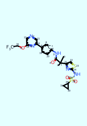 CC(C)(C(=O)Nc1ccc(-c2cncc(OCC(F)(F)F)n2)cc1)c1csc(NS(=O)(=O)C2CC2)n1